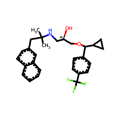 CC(C)(Cc1ccc2ccccc2c1)NC[C@@H](O)COC(c1ccc(C(F)(F)F)cc1)C1CC1